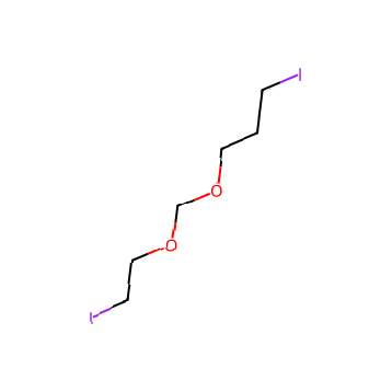 ICCCOCOCCI